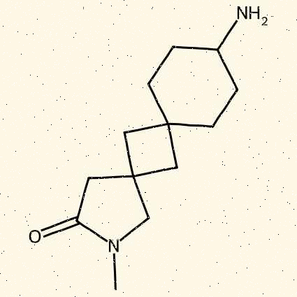 CN1CC2(CC1=O)CC1(CCC(N)CC1)C2